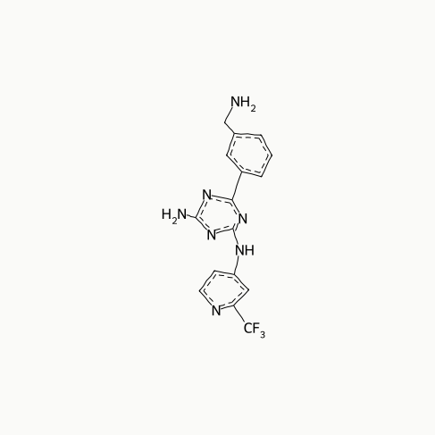 NCc1cccc(-c2nc(N)nc(Nc3ccnc(C(F)(F)F)c3)n2)c1